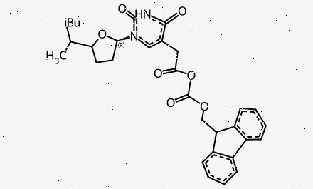 CCC(C)C(C)C1CC[C@H](n2cc(CC(=O)OC(=O)OCC3c4ccccc4-c4ccccc43)c(=O)[nH]c2=O)O1